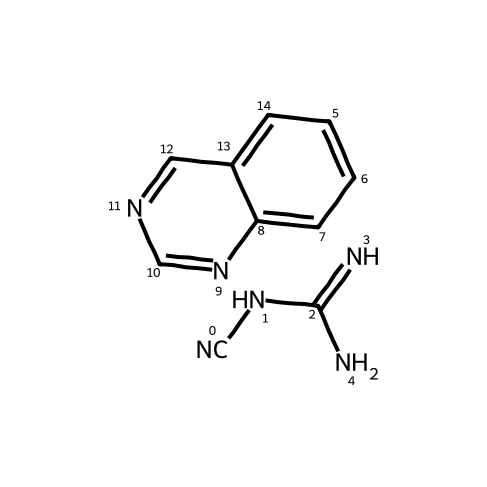 N#CNC(=N)N.c1ccc2ncncc2c1